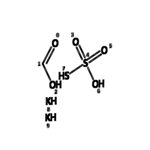 O=CO.O=S(=O)(O)S.[KH].[KH]